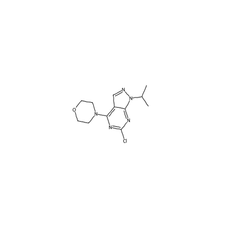 CC(C)n1ncc2c(N3CCOCC3)nc(Cl)nc21